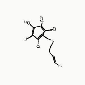 CCC=CCSc1c(Cl)c(Cl)c(O)c(Cl)c1Cl